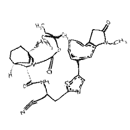 CN1C(=O)Cc2ccc(-c3cnc(CC(C#N)NC(=O)[C@@H]4[C@H]5CC[C@H](C5)N4C(=O)OC(C)(C)C)s3)cc21